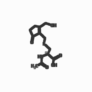 CC(=O)N[C@@H](CSCC1=C(CO)CCC1=O)C(=O)O